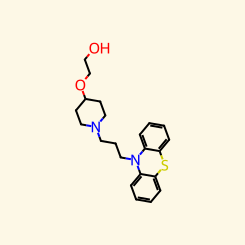 OCCOC1CCN(CCCN2c3ccccc3Sc3ccccc32)CC1